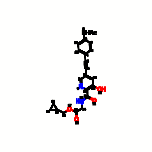 CC(=O)Nc1ccc(C#Cc2cnc(C(=O)NCC(=O)OCC3CC3)c(O)c2)cc1